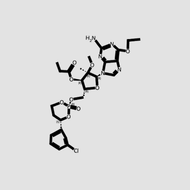 CCOc1nc(N)nc2c1ncn2[C@@H]1O[C@H](CO[P@@]2(=O)OCC[C@@H](c3cccc(Cl)c3)O2)[C@@H](OC(=O)CC)[C@@]1(C)OC